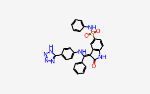 O=C1Nc2ccc(S(=O)(=O)Nc3ccccc3)cc2C1=C(Nc1ccc(-c2nnn[nH]2)cc1)c1ccccc1